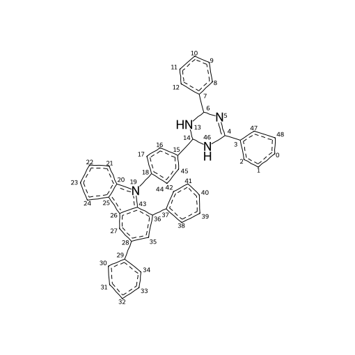 c1ccc(C2=NC(c3ccccc3)NC(c3ccc(-n4c5ccccc5c5cc(-c6ccccc6)cc(-c6ccccc6)c54)cc3)N2)cc1